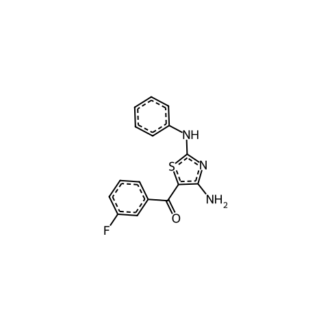 Nc1nc(Nc2ccccc2)sc1C(=O)c1cccc(F)c1